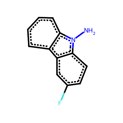 Nn1c2ccccc2c2cc(F)ccc21